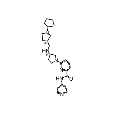 O=C(Nc1ccncc1)c1cccc(N2CC[C@@H](NC[C@H]3CCN(C4CCCC4)C3)C2)n1